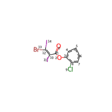 O=C(Oc1ccccc1Cl)/C(I)=C(/Br)I